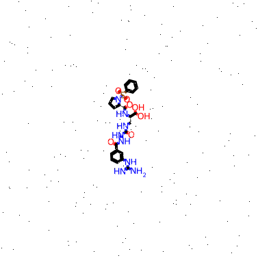 N=C(N)Nc1cccc(C(=O)NNC(=O)NC[C@H](NC(=O)[C@@H]2CCCN2S(=O)(=O)c2ccccc2)C(O)O)c1